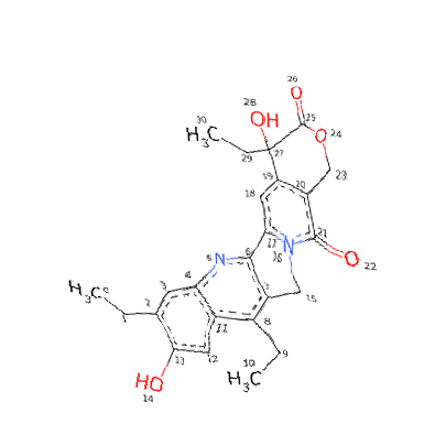 CCc1cc2nc3c(c(CC)c2cc1O)Cn1c-3cc2c(c1=O)COC(=O)C2(O)CC